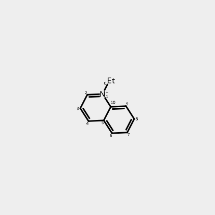 CC[n+]1cccc2ccccc21